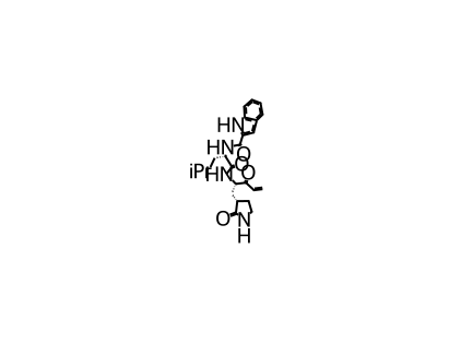 C=CC(=O)[C@H](C[C@@H]1CCNC1=O)NC(=O)[C@H](CC(C)C)NC(=O)c1cc2ccccc2[nH]1